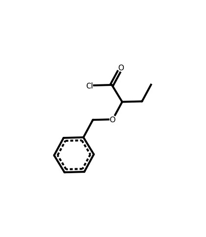 CCC(OCc1ccccc1)C(=O)Cl